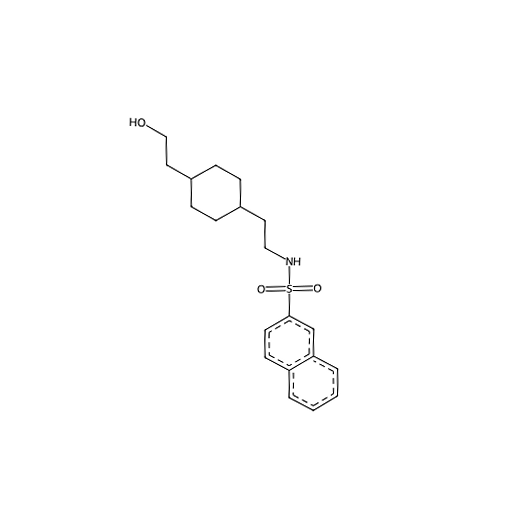 O=S(=O)(NCCC1CCC(CCO)CC1)c1ccc2ccccc2c1